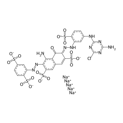 Nc1nc(Cl)nc(Nc2ccc(S(=O)(=O)[O-])c(N/N=C3/C(=O)c4c(cc(S(=O)(=O)[O-])c(N=Nc5cc(S(=O)(=O)[O-])ccc5S(=O)(=O)[O-])c4N)C=C3S(=O)(=O)[O-])c2)n1.[Na+].[Na+].[Na+].[Na+].[Na+]